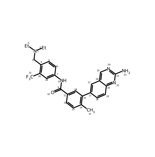 CCN(CC)Cc1ccc(NC(=O)c2ccc(C)c(-c3ccc4nc(N)ncc4c3)c2)cc1C(F)(F)F